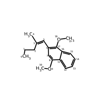 CCC/C(C)=C\c1cc(OC)c2ccccc2c1OC